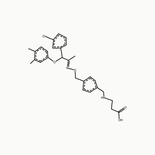 C/C(=N\OCc1ccc(CNCCC(=O)O)cc1)C(Oc1ccc(C)c(C)c1)c1cccc(Cl)c1